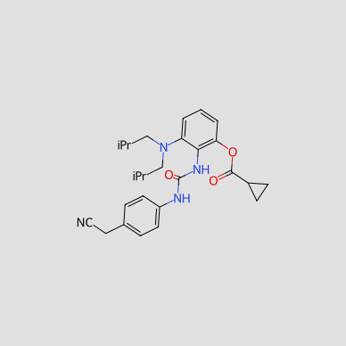 CC(C)CN(CC(C)C)c1cccc(OC(=O)C2CC2)c1NC(=O)Nc1ccc(CC#N)cc1